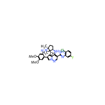 COc1ccc(-c2cc3c(N[C@@H]4CC[C@](C)(N)C4(C)C)c(/C(N)=N/c4cc(F)ccc4Cl)cnn3c2)cc1OC